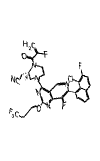 C=C(F)C(=O)N1CCN(c2nc(OCCC(F)(F)F)nc3c(F)c(-c4cccc5ccc(F)c(Cl)c45)ncc23)C[C@@H]1CC#N